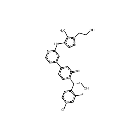 Cc1c(Nc2nccc(-c3ccn([C@H](CO)c4ccc(Cl)cc4F)c(=O)c3)n2)cnn1CCO